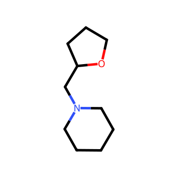 C1CCN(CC2CCCO2)CC1